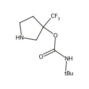 CC(C)(C)NC(=O)OC1(C(F)(F)F)CCNC1